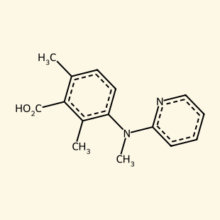 Cc1ccc(N(C)c2ccccn2)c(C)c1C(=O)O